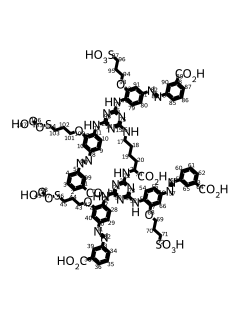 O=C(O)c1cccc(N=Nc2ccc(Nc3nc(NCCCCC(Nc4nc(Nc5ccc(N=Nc6cccc(C(=O)O)c6)cc5OCCCSOOO)nc(Nc5ccc(N=Nc6cccc(C(=O)O)c6)cc5OCCCS(=O)(=O)O)n4)C(=O)O)nc(Nc4ccc(N=Nc5cccc(C(=O)O)c5)cc4OCCCS(=O)(=O)O)n3)c(OCCCSOOO)c2)c1